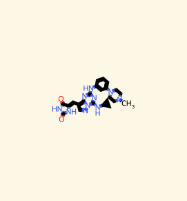 CN1CCN(c2cccc(Nc3nc(NC4CC4)n4ncc(/C=C5\NC(=O)NC5=O)c4n3)c2)CC1